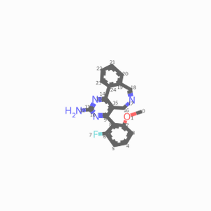 COc1cccc(F)c1-c1nc(N)nc2c1CN=Cc1ccccc1-2